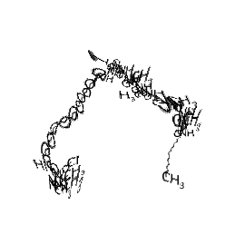 CCCCCCCCCCCCCCCC(=O)Nc1cn(C)c(C(=O)Nc2cc(C(=O)NCCC(=O)Nc3cn(C)c(C(=O)Nc4cc(C(=O)NCCC(=O)Nc5cc(C(=O)NCCC(=O)NCCOCCOCCOCCOCCOCCOCCOCCOCCOc6ccc(NC(=O)CC7N=C(c8ccc(Cl)cc8)c8c(sc(C)c8C)-n8c(C)nnc87)cc6)n(C)c5)n(C)c4)n3)n(C)c2)n1